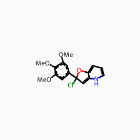 COc1cc(C2(Cl)C=C3NC=CC=C3O2)cc(OC)c1OC